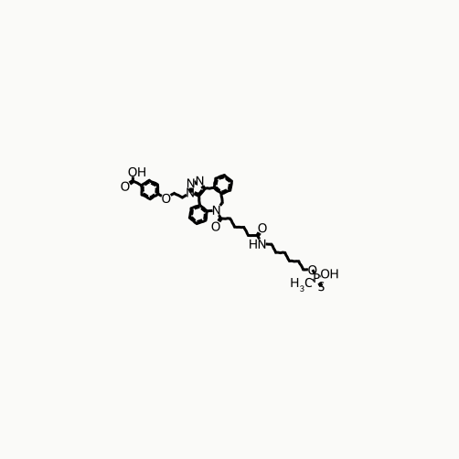 CP(O)(=S)OCCCCCCNC(=O)CCCCC(=O)N1Cc2ccccc2-c2nnn(CCOc3ccc(C(=O)O)cc3)c2-c2ccccc21